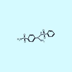 NN(NS(=O)(=O)c1ccccc1)c1ccc(S(N)(=O)=O)cc1